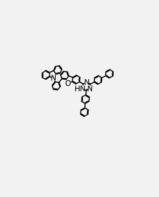 c1ccc(-c2ccc(C3=NC(c4ccc5c(c4)oc4c(-c6ccccc6-n6c7ccccc7c7ccccc76)cccc45)NC(c4ccc(-c5ccccc5)cc4)=N3)cc2)cc1